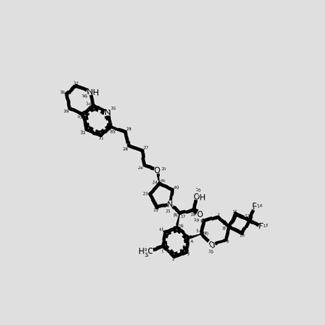 Cc1ccc([C@H]2CCC3(CO2)CC(F)(F)C3)c([C@H](C(=O)O)N2CC[C@@H](OCCCCc3ccc4c(n3)NCCC4)C2)c1